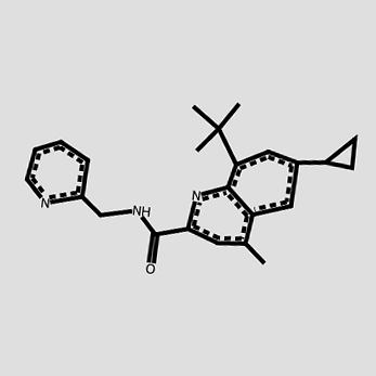 Cc1cc(C(=O)NCc2ccccn2)nc2c(C(C)(C)C)cc(C3CC3)cc12